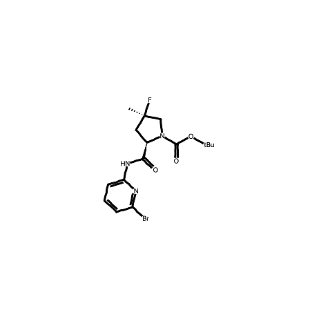 CC(C)(C)OC(=O)N1C[C@](C)(F)C[C@@H]1C(=O)Nc1cccc(Br)n1